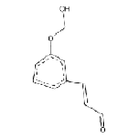 O=C/C=C/c1cccc(OCO)c1